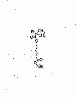 CCCCOC(=O)CCCCCOC(=O)C(C)(C)CC